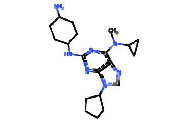 CN(c1nc(NC2CCC(N)CC2)nc2c1ncn2C1CCCC1)C1CC1